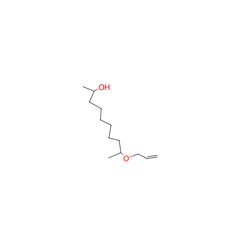 C=CCOC(C)CCCCCCC(C)O